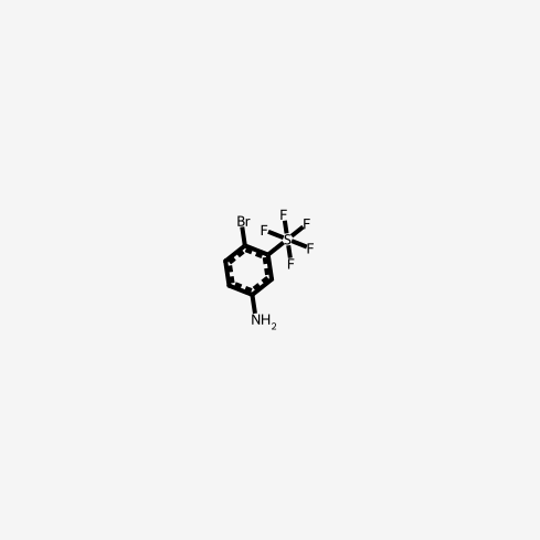 Nc1ccc(Br)c(S(F)(F)(F)(F)F)c1